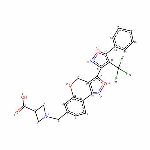 O=C(O)C1CN(Cc2ccc3c(c2)OCc2c-3noc2-c2noc(-c3ccccc3)c2C(F)(F)F)C1